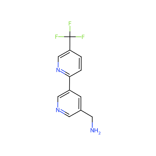 NCc1cncc(-c2ccc(C(F)(F)F)cn2)c1